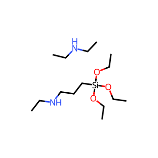 CCNCC.CCNCCC[Si](OCC)(OCC)OCC